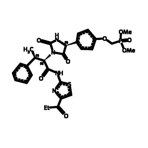 CCC(=O)c1csc(NC(=O)[C@H]([C@H](C)c2ccccc2)N2C(=O)N[C@H](c3ccc(OCP(=O)(OC)OC)cc3)C2=O)n1